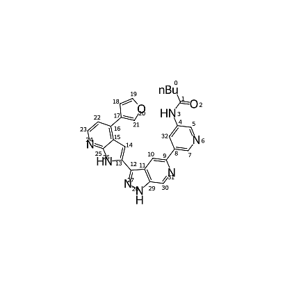 CCCCC(=O)Nc1cncc(-c2cc3c(-c4cc5c(-c6ccoc6)ccnc5[nH]4)n[nH]c3cn2)c1